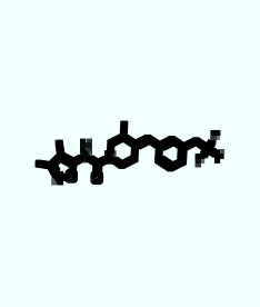 Cc1noc(NC(=O)N2CCC(=Cc3cccc(CC(F)(F)F)c3)C(C)C2)c1C